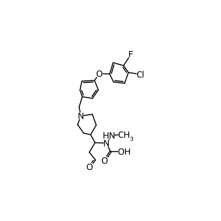 CNN(C(=O)O)C(CC=O)C1CCN(Cc2ccc(Oc3ccc(Cl)c(F)c3)cc2)CC1